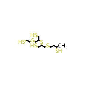 CC(S)CCSCC(CS)SC(CS)CSCCS